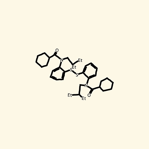 CCC(CC)CN(C(=O)C1CCCCC1)c1ccccc1SSc1ccccc1N(CC(CC)CC)C(=O)C1CCCCC1